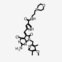 COc1c(C)cnc(CN2C(=O)C(=Cc3cc(C(=O)NCCCN4CCOCC4)c[nH]3)c3c(Cl)nc(N)nc32)c1C